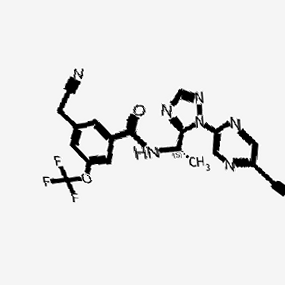 C[C@H](NC(=O)c1cc(CC#N)cc(OC(F)(F)F)c1)c1ncnn1-c1cnc(C#N)cn1